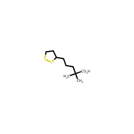 CC(C)(CCCC1CCSS1)C(=O)O